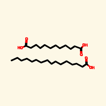 CCCCCCCCCCCCCCCC(=O)O.O=C(O)CCCCCCCCCCC(=O)O